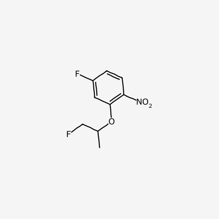 CC(CF)Oc1cc(F)ccc1[N+](=O)[O-]